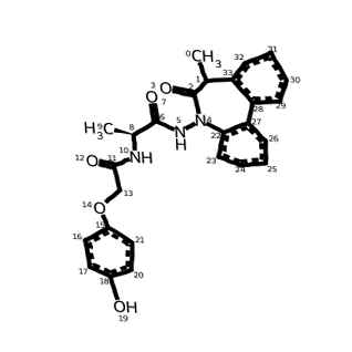 CC1C(=O)N(NC(=O)[C@H](C)NC(=O)COc2ccc(O)cc2)c2ccccc2-c2ccccc21